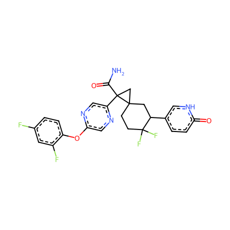 NC(=O)C1(c2cnc(Oc3ccc(F)cc3F)cn2)CC12CCC(F)(F)C(c1ccc(=O)[nH]c1)C2